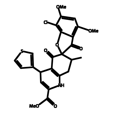 COC(=O)C1=CC(c2ccsc2)C2=C(CC(C)C3(Oc4c(Cl)c(OC)cc(OC)c4C3=O)C2=O)N1